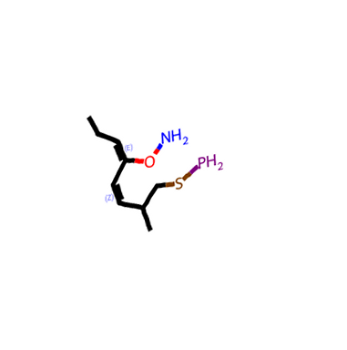 CC/C=C(\C=C/C(C)CSP)ON